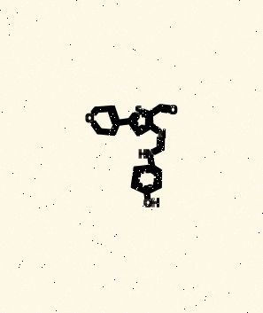 O=Cc1sc(C2=CCOCC2)cc1/N=C\Nc1ccc(O)cc1